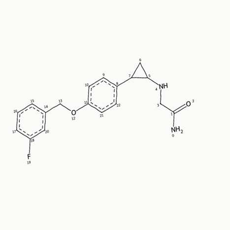 NC(=O)CNC1CC1c1ccc(OCc2cccc(F)c2)cc1